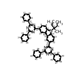 CCC(C)(CC)n1c2ccc(-c3nc(-c4ccccc4)nc(-c4ccccc4)n3)cc2c2cc(-c3nc(-c4ccccc4)nc(-c4ccccc4)n3)ccc21